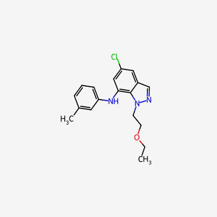 CCOCCn1ncc2cc(Cl)cc(Nc3cccc(C)c3)c21